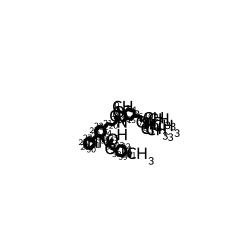 COc1ccc(CO[Si](C)(C)C(C)(C)C)cc1NC(=O)CCc1ccc(-c2ccccc2)c(NC(=O)OC2CCN(C)CC2)c1